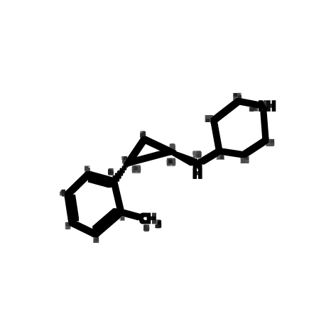 Cc1ccccc1[C@@H]1C[C@H]1NC1CCNCC1